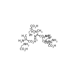 CC(C)C[C@H](N)C(=O)O.C[C@H](N)C(=O)O.C[C@H](N)C(=O)O.NCC(=O)O.NCC(=O)O.NCC(=O)O.NCC(=O)O